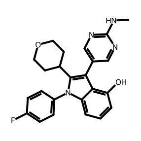 CNc1ncc(-c2c(C3CCOCC3)n(-c3ccc(F)cc3)c3cccc(O)c23)cn1